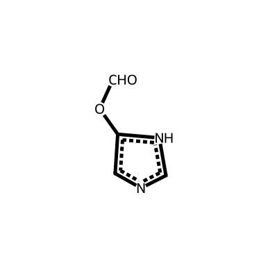 O=COc1cnc[nH]1